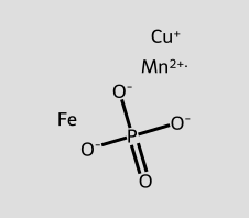 O=P([O-])([O-])[O-].[Cu+].[Fe].[Mn+2]